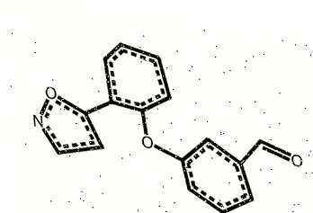 O=Cc1cccc(Oc2ccccc2-c2ccno2)c1